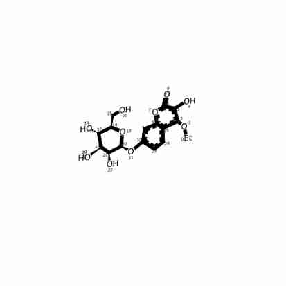 CCOc1c(O)c(=O)oc2cc(O[C@@H]3O[C@H](CO)[C@@H](O)[C@H](O)[C@@H]3O)ccc12